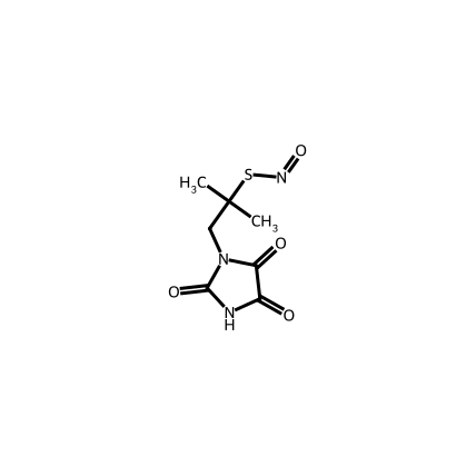 CC(C)(CN1C(=O)NC(=O)C1=O)SN=O